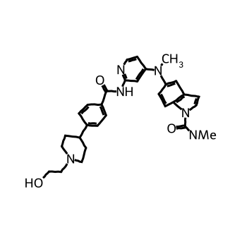 CNC(=O)n1ccc2cc(N(C)c3ccnc(NC(=O)c4ccc(C5CCN(CCO)CC5)cc4)c3)ccc21